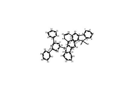 CC1(C)c2ccccc2-c2cc3c4c(c5c(cc4c21)c1ccccc1n5-c1cc(-c2ccccc2)nc(-c2ccccc2)n1)CC=C3